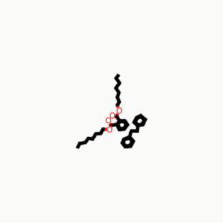 CCCCCCCCOC(=O)c1ccccc1C(=O)OCCCCCCCC.c1ccc(CCc2ccccc2)cc1